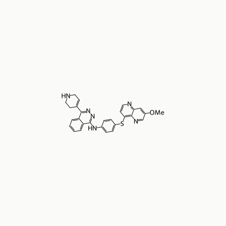 COc1cnc2c(Sc3ccc(Nc4nnc(C5=CCNCC5)c5ccccc45)cc3)ccnc2c1